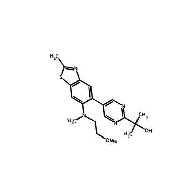 COCCN(C)c1cc2sc(C)nc2cc1-c1cnc(C(C)(C)O)nc1